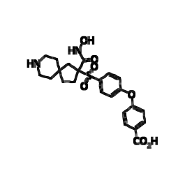 O=C(O)c1ccc(Oc2ccc(S(=O)(=O)C3(C(=O)NO)CCC4(CCNCC4)C3)cc2)cc1